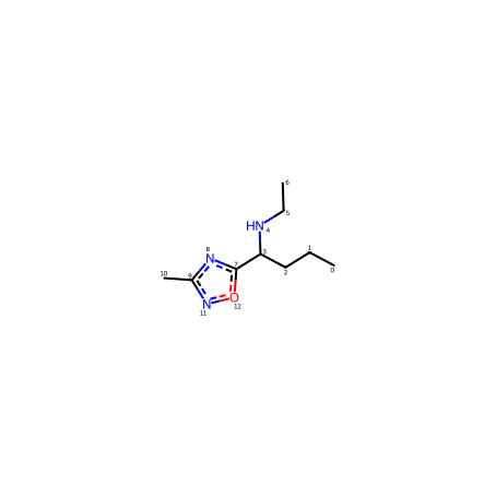 CCCC(NCC)c1nc(C)no1